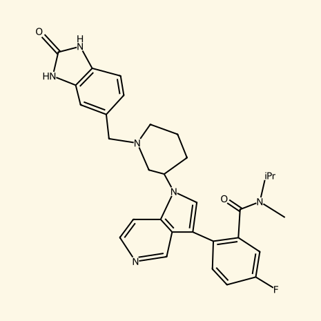 CC(C)N(C)C(=O)c1cc(F)ccc1-c1cn(C2CCCN(Cc3ccc4[nH]c(=O)[nH]c4c3)C2)c2ccncc12